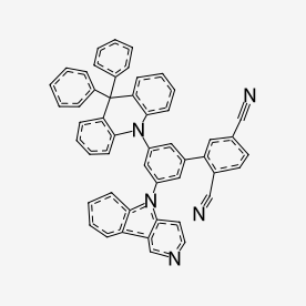 N#Cc1ccc(C#N)c(-c2cc(N3c4ccccc4C(c4ccccc4)(c4ccccc4)c4ccccc43)cc(-n3c4ccccc4c4cnccc43)c2)c1